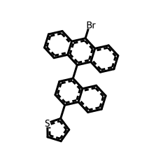 Brc1c2ccccc2c(-c2ccc(-c3cccs3)c3ccccc23)c2ccccc12